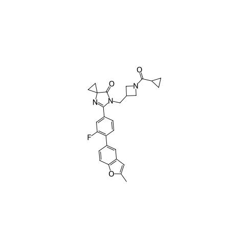 Cc1cc2cc(-c3ccc(C4=NC5(CC5)C(=O)N4CC4CN(C(=O)C5CC5)C4)cc3F)ccc2o1